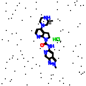 C[C@H]1CN(c2ccnc3c2CCN3C(=O)Nc2cc3cn(C)nc3cn2)CCN1.Cl